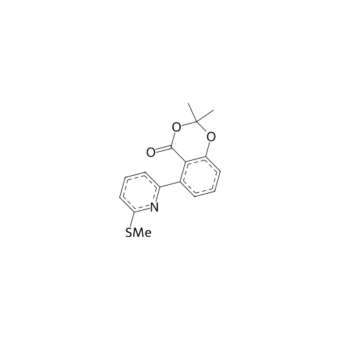 CSc1cccc(-c2cccc3c2C(=O)OC(C)(C)O3)n1